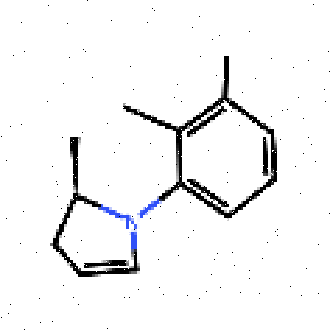 Cc1cccc(N2C=CC[C@H]2C)c1C